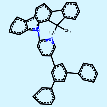 CC1(C)c2ccccc2-c2ccc3c4ccccc4n(-c4ccc(-c5cc(-c6ccccc6)cc(-c6ccccc6)c5)cn4)c3c21